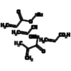 C=C(C)C(=O)OC.C=CC#N.C=CC(=O)O.C=CC(=O)OCCCC